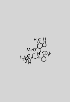 COc1cc(C)c2[nH]ccc2c1CN1CC[C@@H](NS(N)(=O)=O)C[C@H]1c1ccccc1C(=O)O